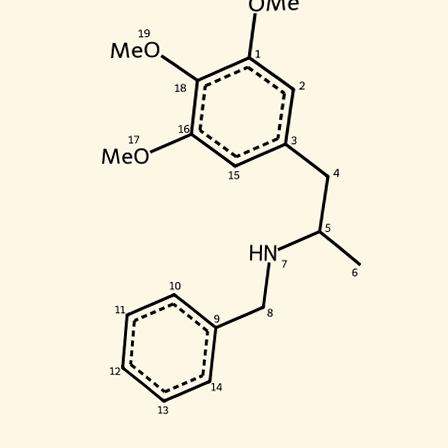 COc1cc(CC(C)NCc2ccccc2)cc(OC)c1OC